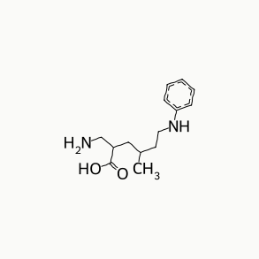 CC(CCNc1ccccc1)CC(CN)C(=O)O